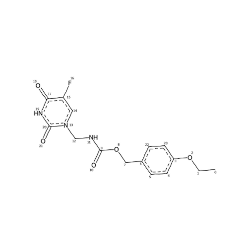 CCOc1ccc(COC(=O)NCn2cc(F)c(=O)[nH]c2=O)cc1